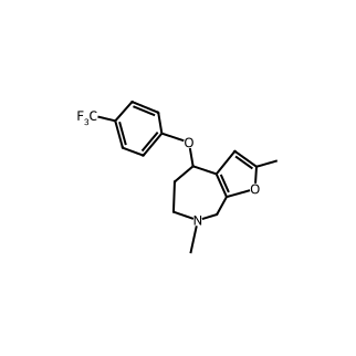 Cc1cc2c(o1)CN(C)CCC2Oc1ccc(C(F)(F)F)cc1